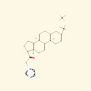 [2H]C([2H])([2H])OC([2H])([2H])[C@@]1(O)CC[C@@]2(C)[C@@H](CC[C@@H]3[C@@H]2CC[C@@]2(C)[C@H]3CC[C@]2([2H])C(=O)Cn2ccnc2)C1